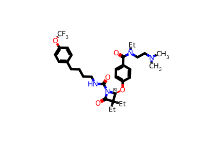 CCN(CCN(C)C)C(=O)c1ccc(O[C@@H]2N(C(=O)NCCCCc3ccc(OC(F)(F)F)cc3)C(=O)C2(CC)CC)cc1